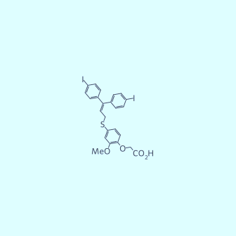 COc1cc(SCC=C(c2ccc(I)cc2)c2ccc(I)cc2)ccc1OCC(=O)O